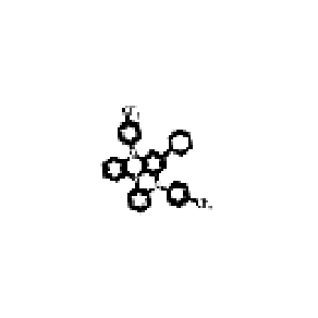 FC(F)(F)c1ccc(N2c3ccccc3B3c4ccccc4N(c4ccc(C(F)(F)F)cc4)c4cc(C5CCCCC5)cc2c43)cc1